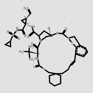 C=C[C@@H]1C[C@]1(NC(=O)C1C[C@@H]2CN1C(=O)[C@H](C(C)(C)C)NC(=O)OCC1(CC/C=C/c3cccc4c3CN(C4)C(=O)O2)CCCCC1)C(=O)NS(=O)(=O)C1CC1